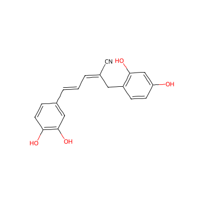 N#CC(=CC=Cc1ccc(O)c(O)c1)Cc1ccc(O)cc1O